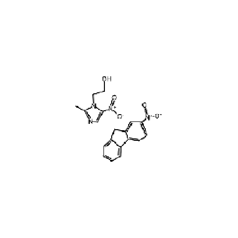 Cc1ncc([N+](=O)[O-])n1CCO.O=[N+]([O-])c1ccc2c(c1)Cc1ccccc1-2